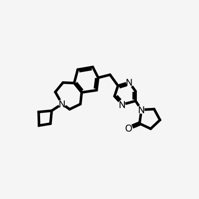 O=C1CCCN1c1cnc(Cc2ccc3c(c2)CCN(C2CCC2)CC3)cn1